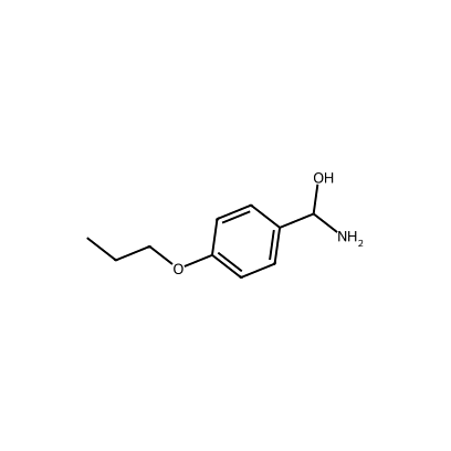 CCCOc1ccc(C(N)O)cc1